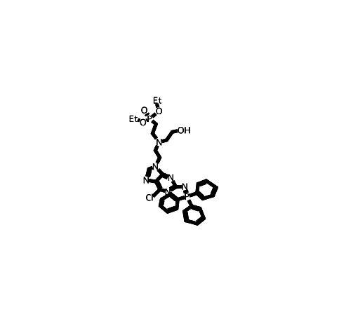 CCOP(=O)(CCN(CCO)CCn1cnc2c(Cl)nc(N=P(c3ccccc3)(c3ccccc3)c3ccccc3)nc21)OCC